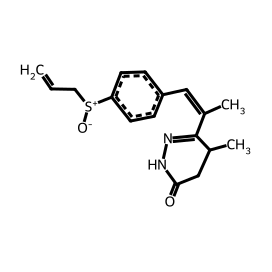 C=CC[S+]([O-])c1ccc(C=C(C)C2=NNC(=O)CC2C)cc1